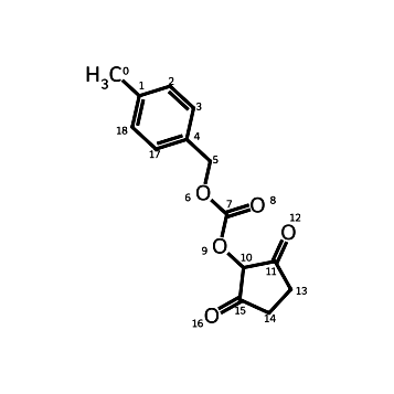 Cc1ccc(COC(=O)OC2C(=O)CCC2=O)cc1